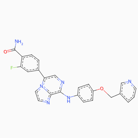 NC(=O)c1ccc(-c2cnc(Nc3ccc(OCc4cccnc4)cc3)c3nccn23)cc1F